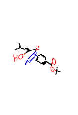 CC(C)CC(O)C(=O)Nc1ccc(C(=O)OC(C)(C)C)cc1